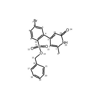 Cc1cc(-c2cc(Br)ccc2S(=O)(=O)OCc2ccccc2)cc(=O)[nH]1